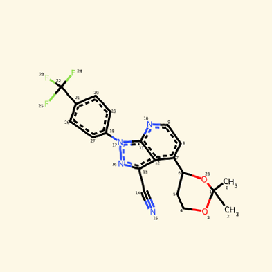 CC1(C)OCCC(c2ccnc3c2c(C#N)nn3-c2ccc(C(F)(F)F)cc2)O1